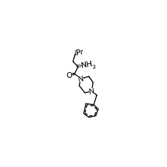 CC(C)C[C@H](N)C(=O)N1CCN(Cc2ccccc2)CC1